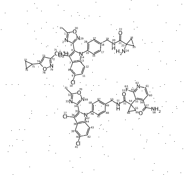 Cc1nc(-c2c(Cl)c3cc(Cl)ccc3n2-c2ccc(CNC(=O)C3(N)CC3)cc2)no1.Cc1nc(-c2c(Cl)c3cc(Cl)ccc3n2-c2ccc(CNC(=O)C3(c4c(C(N)=O)ccnc4F)CC3)cc2)no1.O=C(O)c1cc(C2CC2)on1